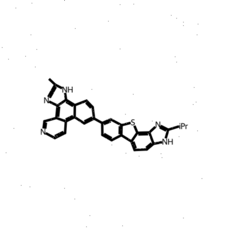 Cc1nc2c3cnccc3c3cc(-c4ccc5c(c4)sc4c5ccc5[nH]c(C(C)C)nc54)ccc3c2[nH]1